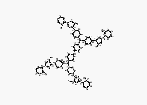 Cc1ccccc1-c1cc(C)c(-c2ccc(N(c3ccc(-c4ccc(N(c5ccc(-c6sc(-c7ccccc7C)cc6C)cc5)c5ccc(-c6sc(-c7ccccc7C)cc6C)cc5)cc4)cc3)c3ccc(-c4sc(-c5ccccc5C)cc4C)cc3)cc2)s1